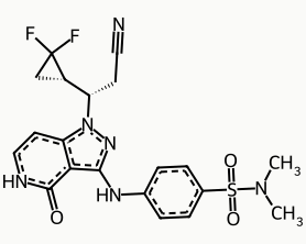 CN(C)S(=O)(=O)c1ccc(Nc2nn([C@@H](CC#N)[C@@H]3CC3(F)F)c3cc[nH]c(=O)c23)cc1